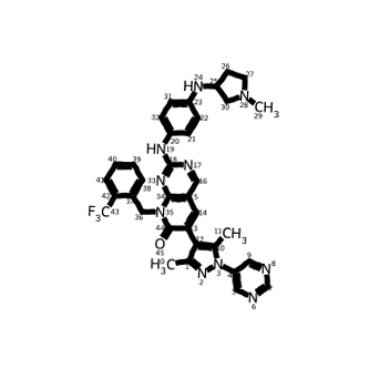 Cc1nn(-c2cncnc2)c(C)c1-c1cc2cnc(Nc3ccc(NC4CCN(C)C4)cc3)nc2n(Cc2ccccc2C(F)(F)F)c1=O